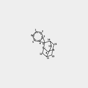 c1ccc2c(c1)C21[C]2CC3CC(C2)CC1C3